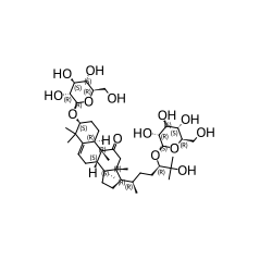 C[C@H](CC[C@@H](O[C@@H]1O[C@H](CO)[C@@H](O)[C@H](O)[C@H]1O)C(C)(C)O)[C@H]1CC[C@@]2(C)[C@@H]3CC=C4[C@@H](CC[C@H](O[C@@H]5O[C@H](CO)[C@@H](O)[C@H](O)[C@H]5O)C4(C)C)[C@]3(C)C(=O)C[C@]12C